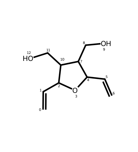 C=CC1OC(C=C)C(CO)C1CO